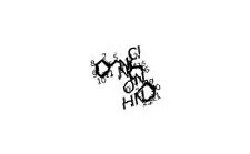 O=C1c2nn(Cc3ccccc3)c(Cl)c2CCN1C1C=CCCNC1